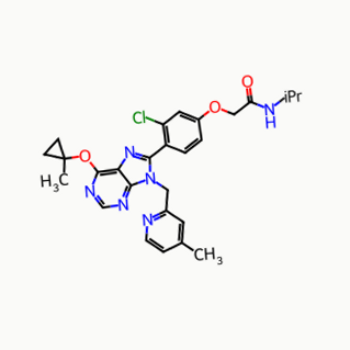 Cc1ccnc(Cn2c(-c3ccc(OCC(=O)NC(C)C)cc3Cl)nc3c(OC4(C)CC4)ncnc32)c1